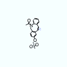 CC(=O)N1Cc2ccc(OCS(C)(=O)=O)cc2/C=C\c2ccccc21